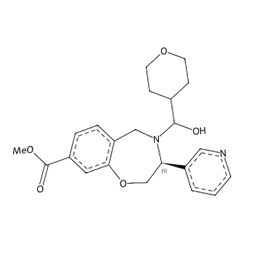 COC(=O)c1ccc2c(c1)OC[C@H](c1cccnc1)N(C(O)C1CCOCC1)C2